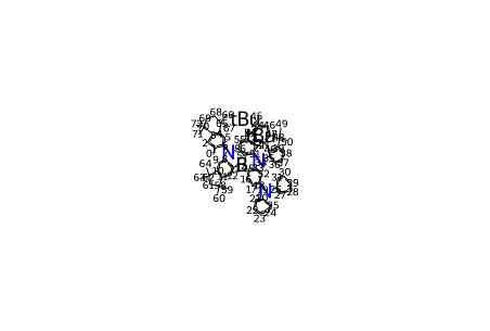 Cc1cc2c(cc1N1c3cc4c(cc3B3c5ccc(N(c6ccccc6)c6ccccc6)cc5N(c5cccc6c5-c5ccc(C(C)(C)C)cc5C6(C)C)c5cc(C(C)(C)C)cc1c53)C(C)(C)CC4(C)C)C(C)(C)CCC2(C)C